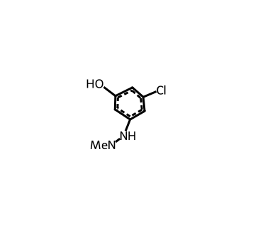 CNNc1cc(O)cc(Cl)c1